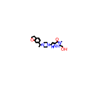 CC(c1ccc2c(c1)OCC2)N1CCN(c2cc(C(=O)N(C)CCO)[nH]n2)CC1